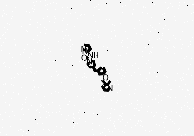 Cc1ncccc1COc1cccc(C=C2CCN(C(=O)Nc3cccnn3)CC2)c1